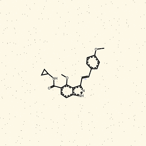 COc1ccc(/C=C/c2n[nH]c3ccc(C(=O)NC4CC4)c(OC)c23)cc1